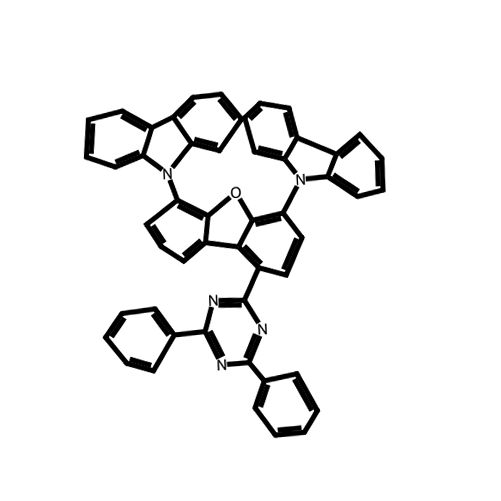 c1ccc(-c2nc(-c3ccccc3)nc(-c3ccc(-n4c5ccccc5c5ccccc54)c4oc5c(-n6c7ccccc7c7ccccc76)cccc5c34)n2)cc1